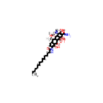 CCCCCCCCCCCCCCCC(=O)Nc1ccc2c(c1O)C(=O)C1=C(O)C3(O)C(=O)C(C(N)=O)=C(O)[C@@H](N(C)C)C3[C@@H](O)C1[C@H]2C